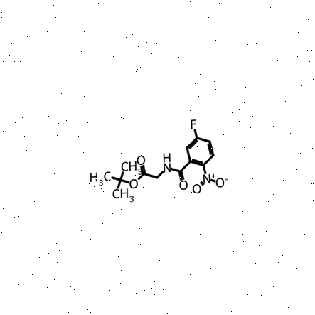 CC(C)(C)OC(=O)CNC(=O)c1cc(F)ccc1[N+](=O)[O-]